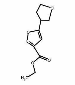 CCOC(=O)c1cc(C2CCOC2)on1